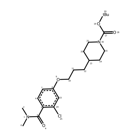 CN(C)C(=O)c1ccc(OCCCC2CCN(C(=O)OC(C)(C)C)CC2)cc1Cl